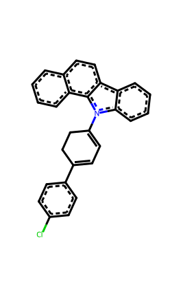 Clc1ccc(C2=CC=C(n3c4ccccc4c4ccc5ccccc5c43)CC2)cc1